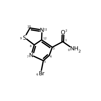 NC(=O)c1cc(Br)nc2s[c]nc12